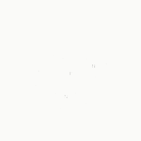 Cc1cccc(P(c2ccccc2N(C)C)c2ccccc2N(C)C)c1C